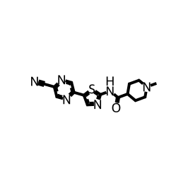 CN1CCC(C(=O)Nc2ncc(-c3cnc(C#N)cn3)s2)CC1